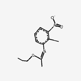 CCOC(C)=Nc1cccc([N+](=O)[O-])c1C